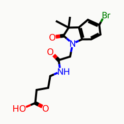 CC1(C)C(=O)N(CC(=O)NCCCC(=O)O)c2ccc(Br)cc21